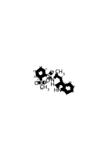 CC(Cc1c[nH]c2ccccc12)NS(=O)(=O)c1ccccc1S(C)(=O)=O